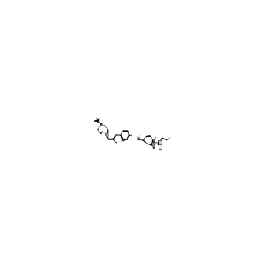 CCCn1nc(Cl)c2cc(COc3ccc4c(c3)OCC(CN3CCC(C(=O)O)CC3)=C4)ccc21